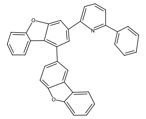 c1ccc(-c2cccc(-c3cc(-c4ccc5oc6ccccc6c5c4)c4c(c3)oc3ccccc34)n2)cc1